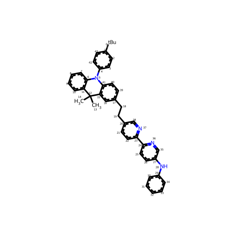 CC(C)(C)c1ccc(N2c3ccccc3C(C)(C)c3cc(CCc4ccc(-c5ccc(Nc6ccccc6)cn5)nc4)ccc32)cc1